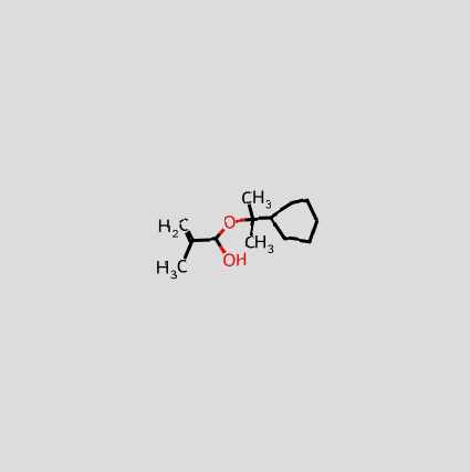 C=C(C)C(O)OC(C)(C)C1CCCCC1